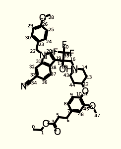 CCOC(=O)CCc1ccc(OC2CCN(CC(O)(c3cn(Cc4ccc(OC)cc4)c4cc(C#N)ccc34)C(F)(F)F)CC2)c(OC)c1